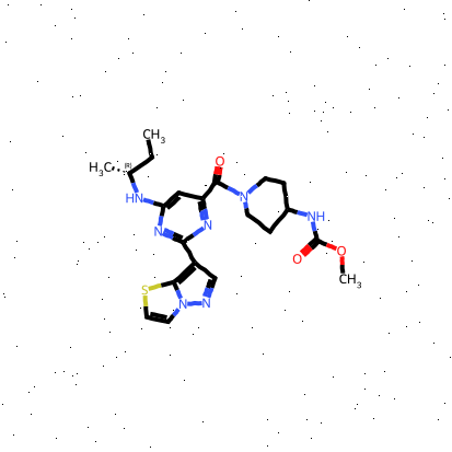 CC[C@@H](C)Nc1cc(C(=O)N2CCC(NC(=O)OC)CC2)nc(-c2cnn3ccsc23)n1